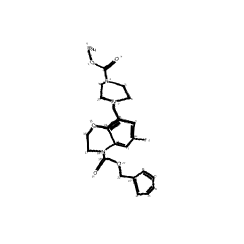 CC(C)(C)OC(=O)N1CCN(c2cc(F)cc3c2OCCN3C(=O)OCc2ccccc2)CC1